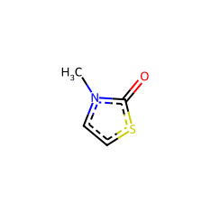 Cn1ccsc1=O